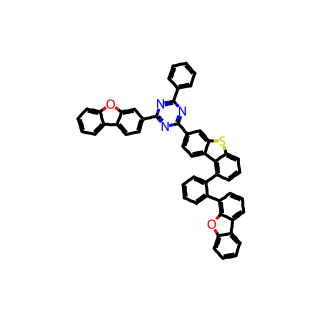 c1ccc(-c2nc(-c3ccc4c(c3)oc3ccccc34)nc(-c3ccc4c(c3)sc3cccc(-c5ccccc5-c5cccc6c5oc5ccccc56)c34)n2)cc1